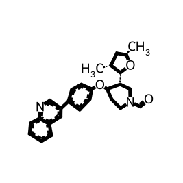 C[C@@H]1C[C@H](C)O[C@@H]1C1CN(C=O)CCC1Oc1ccc(-c2cnc3ccccc3c2)cc1